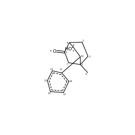 CC12CCC(C(=O)C1)C(O)C2c1ccccc1